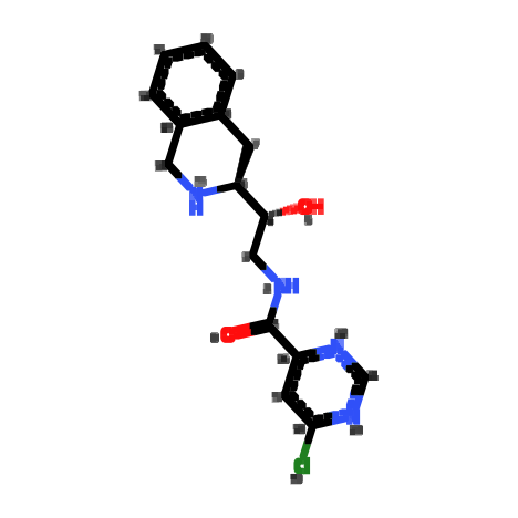 O=C(NC[C@@H](O)[C@@H]1Cc2ccccc2CN1)c1cc(Cl)ncn1